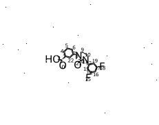 O=C(O)c1cccc(N2CCN(c3cc(F)cc(F)c3)C2=O)c1